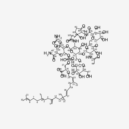 C=C(C/C=C(\C)CCC=C(C)C)CCC(C)(C)/C=C/CC/C(C)=C\CO[C@H](COP(=O)(O)O[C@H]1OC(C(N)=O)[C@@](C)(O)C(OC(N)=O)C1O[C@@H]1OC(CO[C@@H]2OC(CO)[C@@H](O)C(O)C2O)[C@@H](O[C@@H]2OC(C)[C@@H](O[C@@H]3OC(C(=O)NC4C(=O)CC[C@@]4(C)O)[C@H](O)C(O)C3O)C(O)C2NC(C)=O)C(O)C1NC(C)=O)C(=O)O